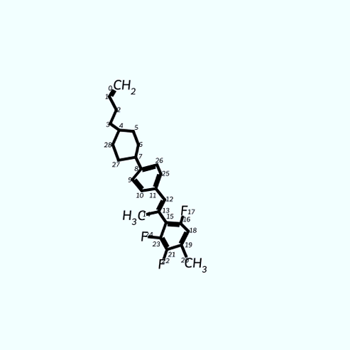 C=CCCC1CCC(c2ccc(C=C(C)c3c(F)cc(C)c(F)c3F)cc2)CC1